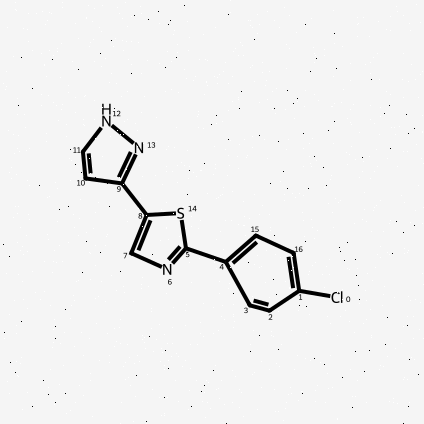 Clc1ccc(-c2ncc(-c3cc[nH]n3)s2)cc1